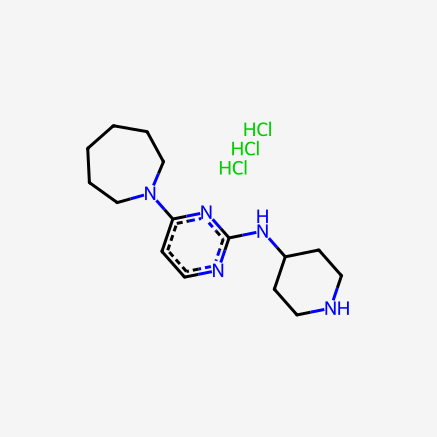 Cl.Cl.Cl.c1cc(N2CCCCCC2)nc(NC2CCNCC2)n1